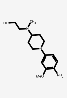 COc1cc(N2CCC(N(C)CCO)CC2)ccc1N